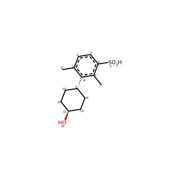 Cc1ccc(S(=O)(=O)O)c(C)c1[C@H]1CC[C@H](O)CC1